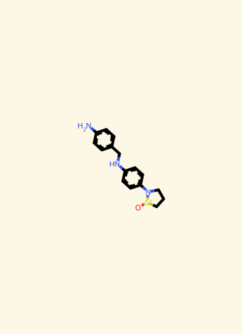 Nc1ccc(CNc2ccc(N3CCC[S+]3[O-])cc2)cc1